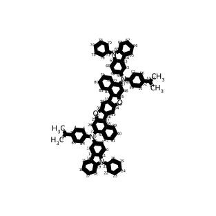 CC(C)c1ccc(N(c2ccc3c(c2)c2ccccc2n3-c2ccccc2)c2cc3oc4cc5c(cc4c3c3ccccc23)oc2cc(N(c3ccc(C(C)C)cc3)c3ccc4c(c3)c3ccccc3n4-c3ccccc3)c3ccccc3c25)cc1